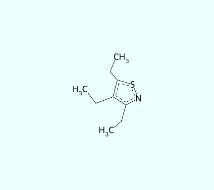 CCc1nsc(CC)c1CC